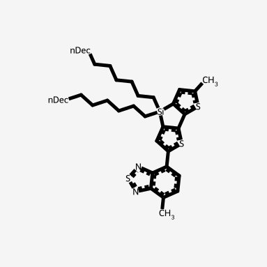 CCCCCCCCCCCCCCCC[Si]1(CCCCCCCCCCCCCCCC)c2cc(C)sc2-c2sc(-c3ccc(C)c4nsnc34)cc21